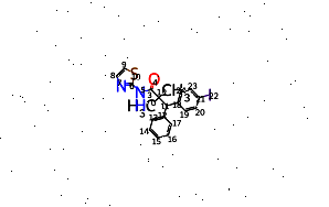 CC(C)(C(=O)Nc1nccs1)C(c1ccccc1)c1ccc(I)cc1